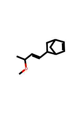 COC(C)/C=C/C1CC2C=CC1C2